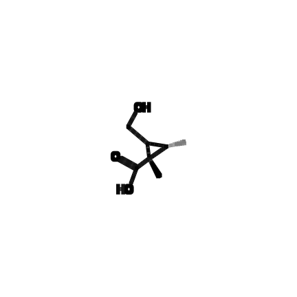 C[C@H]1C(CO)[C@@]1(C)C(=O)O